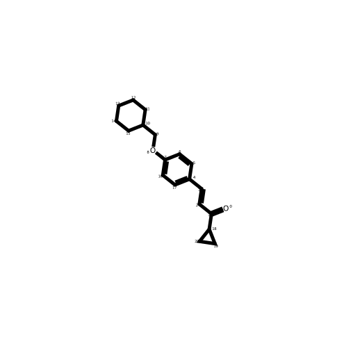 O=C(C=Cc1ccc(OCC2CCCCC2)cc1)C1CC1